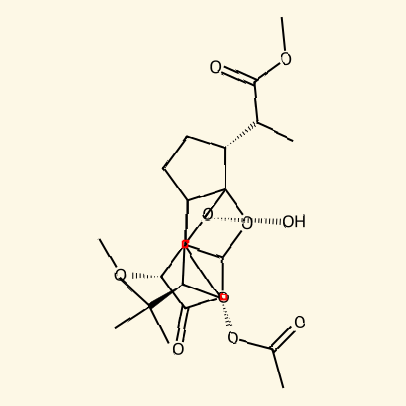 COC(=O)C(C)[C@H]1CCC23C4O[C@@H](O)C12OC1OC(=O)[C@H](OC)C13[C@H](C(C)(C)C)[C@H]4OC(C)=O